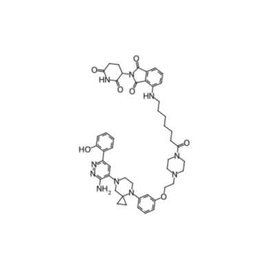 Nc1nnc(-c2ccccc2O)cc1N1CCN(c2cccc(OCCN3CCN(C(=O)CCCCCCNc4cccc5c4C(=O)N(C4CCC(=O)NC4=O)C5=O)CC3)c2)C2(CC2)C1